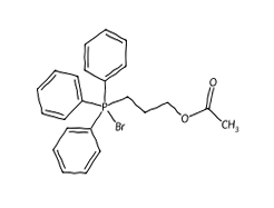 CC(=O)OCCCP(Br)(c1ccccc1)(c1ccccc1)c1ccccc1